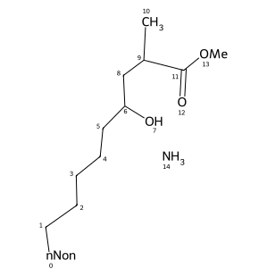 CCCCCCCCCCCCCCC(O)CC(C)C(=O)OC.N